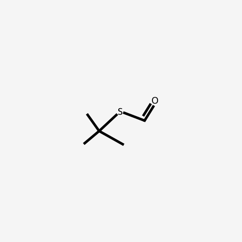 CC(C)(C)SC=O